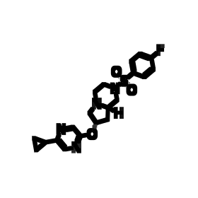 O=S(=O)(c1ccc(F)cc1)N1CCN2C[C@@H](Oc3cnc(C4CC4)cn3)C[C@H]2C1